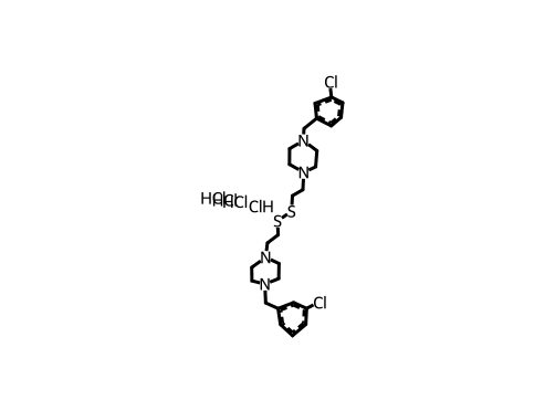 Cl.Cl.Cl.Cl.Clc1cccc(CN2CCN(CCSSCCN3CCN(Cc4cccc(Cl)c4)CC3)CC2)c1